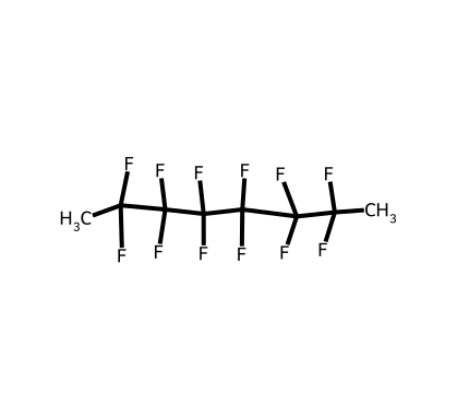 CC(F)(F)C(F)(F)C(F)(F)C(F)(F)C(F)(F)C(C)(F)F